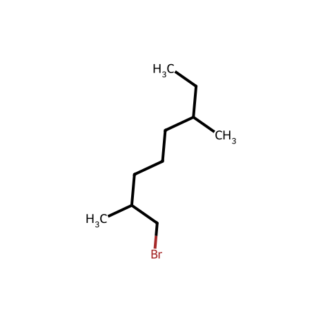 CCC(C)CCCC(C)CBr